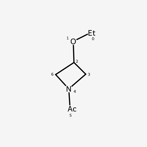 CCOC1CN(C(C)=O)C1